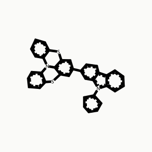 c1ccc(-n2c3ccccc3c3ccc(-c4cc5c6c(c4)Sc4ccccc4N6c4ccccc4S5)cc32)cc1